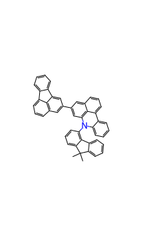 CC1(C)c2ccccc2-c2c(N3c4ccccc4-c4cccc5cc(-c6cc7c8c(cccc8c6)-c6ccccc6-7)cc3c45)cccc21